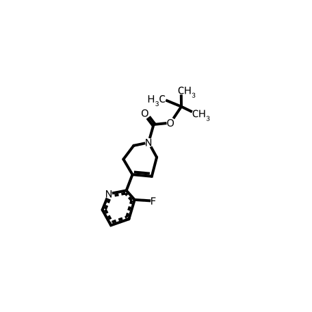 CC(C)(C)OC(=O)N1CC=C(c2ncccc2F)CC1